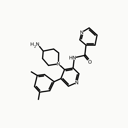 Cc1cc(C)cc(-c2cncc(NC(=O)c3cccnc3)c2N2CCC(N)CC2)c1